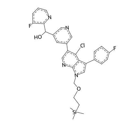 C[Si](C)(C)CCOCn1cc(-c2ccc(F)cc2)c2c(Cl)c(-c3cncc(C(O)c4ncccc4F)c3)cnc21